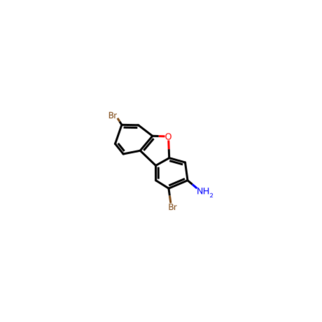 Nc1cc2oc3cc(Br)ccc3c2cc1Br